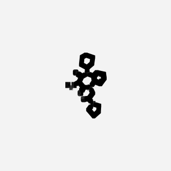 NC1C(=O)N(CC(=O)N2CCCC2)c2ccccc2N(C2CCCCC2)C1=O